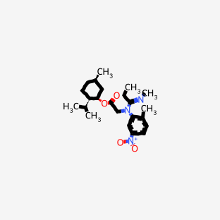 CC/C(=N\C)N(CC(=O)O[C@@H]1C[C@H](C)CC[C@H]1C(C)C)c1cc([N+](=O)[O-])ccc1C